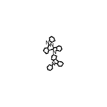 c1ccc(-n2c3ccccc3c3cc(-n4c5ccccc5c5c4c4ccccc4c4nc6ccccc6n45)ccc32)cc1